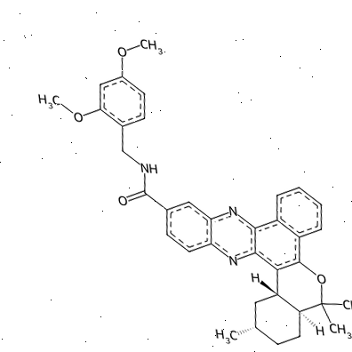 COc1ccc(CNC(=O)c2ccc3nc4c5c(c6ccccc6c4nc3c2)OC(C)(C)[C@H]2CC[C@H](C)C[C@H]52)c(OC)c1